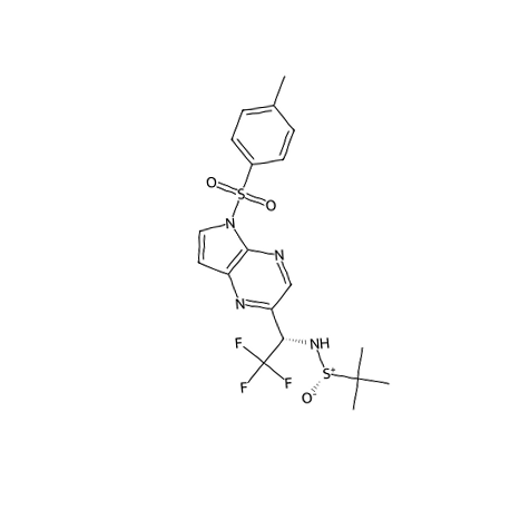 Cc1ccc(S(=O)(=O)n2ccc3nc([C@H](N[S@@+]([O-])C(C)(C)C)C(F)(F)F)cnc32)cc1